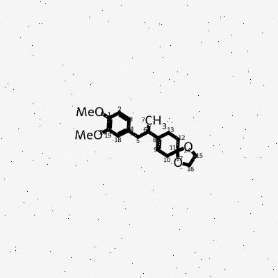 COc1ccc(CC(C)C2=CCC3(CC2)OCCO3)cc1OC